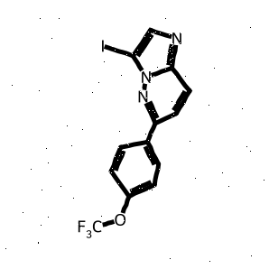 FC(F)(F)Oc1ccc(-c2ccc3ncc(I)n3n2)cc1